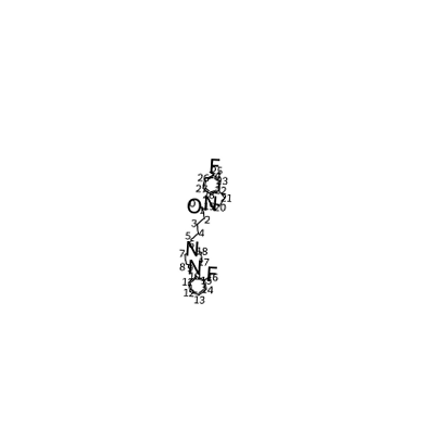 O=C(CCCCN1CCN(c2ccccc2F)CC1)N1CCc2cc(F)ccc21